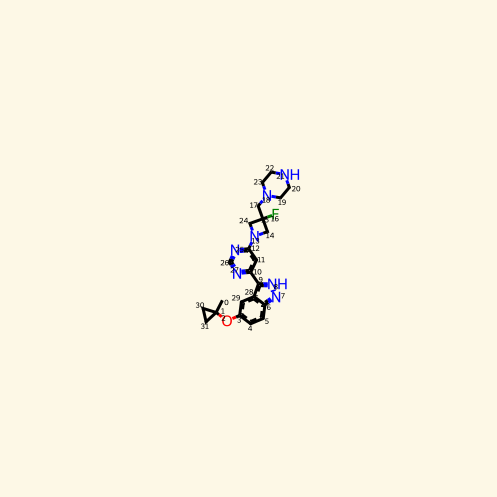 CC1(Oc2ccc3n[nH]c(-c4cc(N5CC(F)(CN6CCNCC6)C5)ncn4)c3c2)CC1